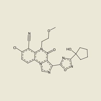 COCCn1c(=O)c2c(-c3nc(C4(O)CCCC4)no3)ncn2c2ccc(Cl)c(C#N)c21